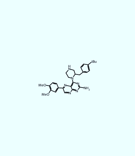 COc1ccc(-c2cnc3nc(N)nc(N4CCNCC4Cc4ccc(C(C)(C)C)cc4)c3n2)cc1OC